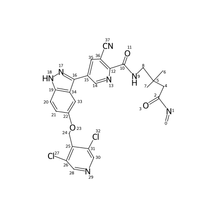 C=NC(=O)CC(C)(C)CNC(=O)c1ncc(-c2n[nH]c3ccc(OCc4c(Cl)cncc4Cl)cc23)cc1C#N